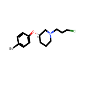 CC(C)(C)c1ccc(O[C@H]2CCCN(CCCCl)C2)cc1